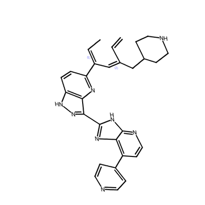 C=C/C(=C\C(=C/C)c1ccc2[nH]nc(-c3nc4c(-c5ccncc5)ccnc4[nH]3)c2n1)CC1CCNCC1